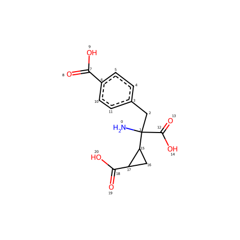 NC(Cc1ccc(C(=O)O)cc1)(C(=O)O)C1CC1C(=O)O